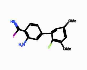 COc1cc(OC)c(F)c(-c2ccc(C(=N)I)c(N)c2)c1